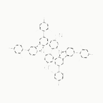 Cc1cc(C)c(-c2ccc3c(c2)c2cc(-c4c(C)cc(C)cc4C)ccc2n3-c2cc(C#N)ccc2-c2ccc(C(F)(F)F)cc2-n2c3ccc(-c4c(C)cc(C)cc4C)cc3c3cc(-c4c(C)cc(C)cc4C)ccc32)c(C)c1